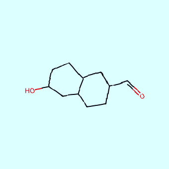 O=CC1CCC2CC(O)CCC2C1